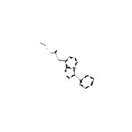 CCOC(=O)Cc1cccc2c(-c3ccccc3)coc12